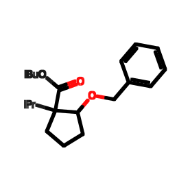 CC(C)COC(=O)C1(C(C)C)CCCC1OCc1ccccc1